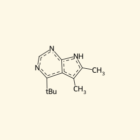 Cc1[nH]c2ncnc(C(C)(C)C)c2c1C